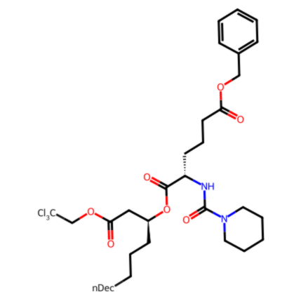 CCCCCCCCCCCCC[C@@H](CC(=O)OCC(Cl)(Cl)Cl)OC(=O)[C@H](CCCC(=O)OCc1ccccc1)NC(=O)N1CCCCC1